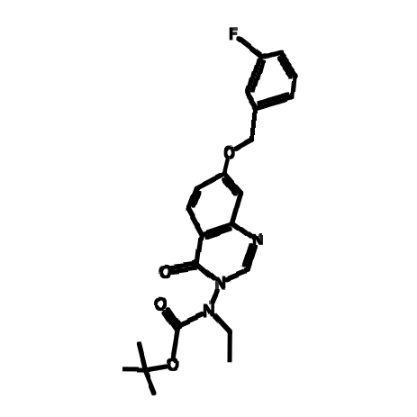 CCN(C(=O)OC(C)(C)C)n1cnc2cc(OCc3cccc(F)c3)ccc2c1=O